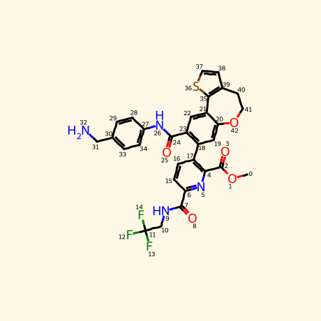 COC(=O)c1nc(C(=O)NCC(F)(F)F)ccc1-c1cc2c(cc1C(=O)Nc1ccc(CN)cc1)-c1sccc1CCO2